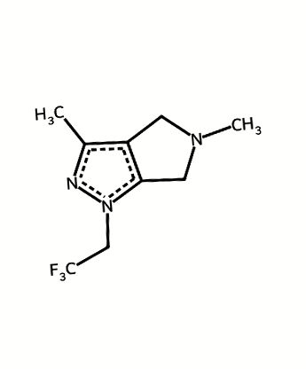 Cc1nn(CC(F)(F)F)c2c1CN(C)C2